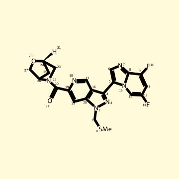 CSCn1nc(-c2cnc3c(F)cc(F)cn23)c2cnc(C(=O)N3C[C@@H]4CC3CO4)cc21